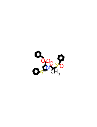 C[C@H](CSC(=O)c1ccccc1)C(=O)N1C[C@@H](Sc2ccccc2)C[C@H]1C(=O)OCc1ccccc1